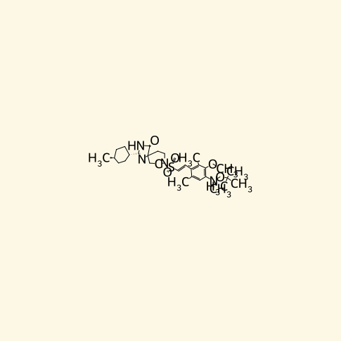 COc1c(N(C)OC(C)(C)C)cc(C)c(/C=C/S(=O)(=O)N2CCC3(CC2)N=C([C@H]2CC[C@H](C)CC2)NC3=O)c1C